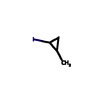 CC1CC1I